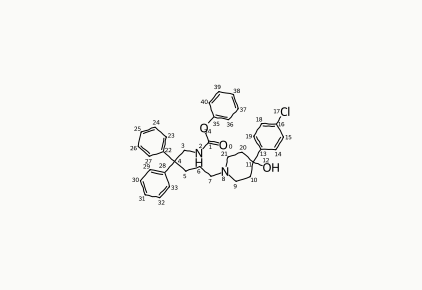 O=C(NCC(CCCN1CCC(O)(c2ccc(Cl)cc2)CC1)(c1ccccc1)c1ccccc1)Oc1ccccc1